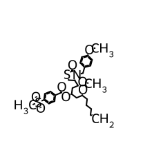 C=CCCCC1CC(OC(=O)c2ccc(S(C)(=O)=O)cc2)CC(OC)(C2CSC(=O)N2Cc2ccc(OC)cc2)O1